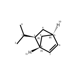 CC(C)[C@H]1C[C@H]2C=C[C@H]1C2